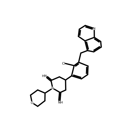 N=C1CC(c2cccc(Cc3cccc4ncccc34)c2Cl)CC(=N)N1C1CCOCC1